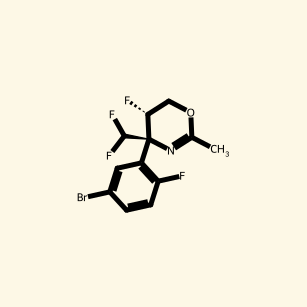 CC1=N[C@@](c2cc(Br)ccc2F)(C(F)F)[C@H](F)CO1